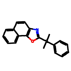 C[Si](C)(c1ccccc1)c1nc2ccc3ccccc3c2o1